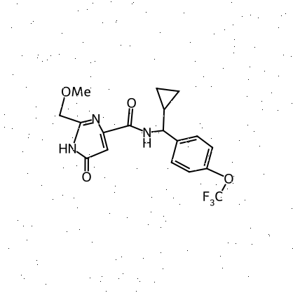 COCc1nc(C(=O)NC(c2ccc(OC(F)(F)F)cc2)C2CC2)cc(=O)[nH]1